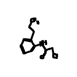 O=C(CCl)Nc1ccccc1CCC(F)(F)F